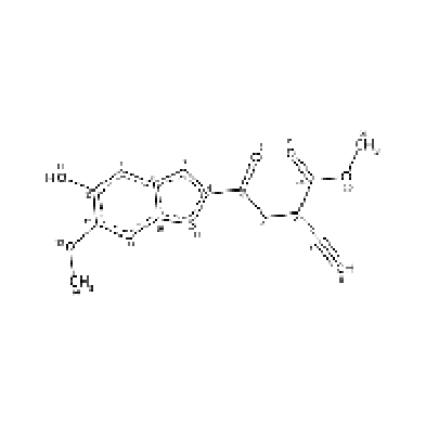 C#C[C@H](CC(=O)c1cc2cc(O)c(OC)cc2s1)C(=O)OC